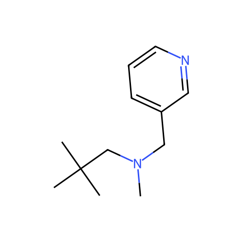 CN(Cc1cccnc1)CC(C)(C)C